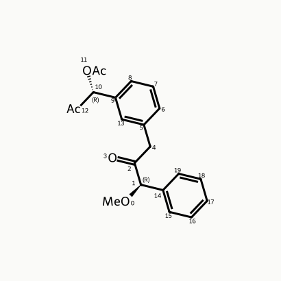 CO[C@@H](C(=O)Cc1cccc([C@@H](OC(C)=O)C(C)=O)c1)c1ccccc1